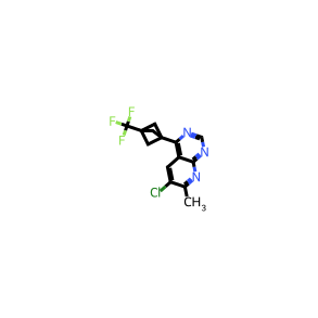 Cc1nc2ncnc(C34CC(C(F)(F)F)(C3)C4)c2cc1Cl